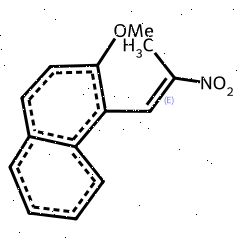 COc1ccc2ccccc2c1/C=C(\C)[N+](=O)[O-]